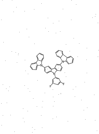 Fc1cc(F)cc(-n2c3ccc(-n4c5ccccc5c5ccccc54)cc3c3cc(-n4c5ccccc5c5ccccc54)ccc32)c1